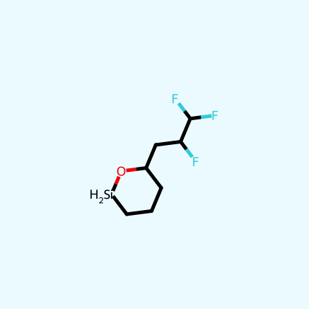 FC(F)C(F)CC1CCC[SiH2]O1